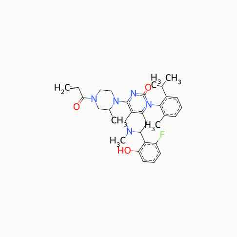 C=CC(=O)N1CCN(c2nc(=O)n(-c3c(C)cccc3C(C)C)c3c2CN(C)C(c2c(O)cccc2F)C3)C(C)C1